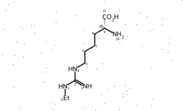 CCNC(=N)NCCCC[C@@H](N)C(=O)O